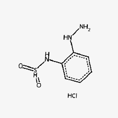 Cl.NNc1ccccc1N[SH](=O)=O